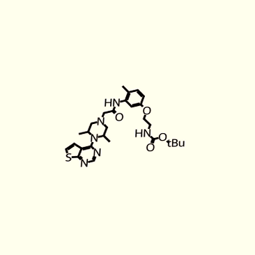 Cc1ccc(OCCNC(=O)OC(C)(C)C)cc1NC(=O)CN1CC(C)N(c2ncnc3sccc23)C(C)C1